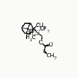 C=CC(=O)OC[Si](C)(C)C1(C)CCC2CC1C2(C)C